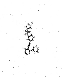 Cc1ncc(C#Cc2c(C)ncnc2N2CCOCC2)cc1NS(=O)(=O)c1cnn(C)c1